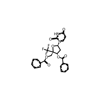 O=C(OC[C@@]1(C(F)(F)F)O[C@@H](n2ccc(=O)[nH]c2=O)C[C@@H]1OC(=O)c1ccccc1)c1ccccc1